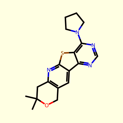 CC1(C)Cc2nc3sc4c(N5CCCC5)ncnc4c3cc2CO1